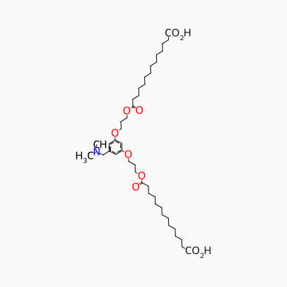 CN(C)Cc1cc(OCCCOC(=O)CCCCCCCCCCCCC(=O)O)cc(OCCCOC(=O)CCCCCCCCCCCCC(=O)O)c1